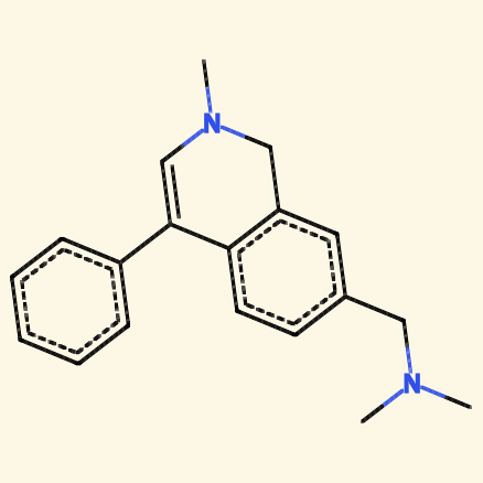 CN(C)Cc1ccc2c(c1)CN(C)C=C2c1ccccc1